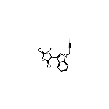 CC#CCn1cc(C2C(=O)SC(=O)N2C)c2ccccc21